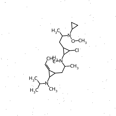 C/C=C1\C(CC(C)N(C)C2C(Cl)C2CC(C)N(OC)C2CC2)C1N(C)C(C)C